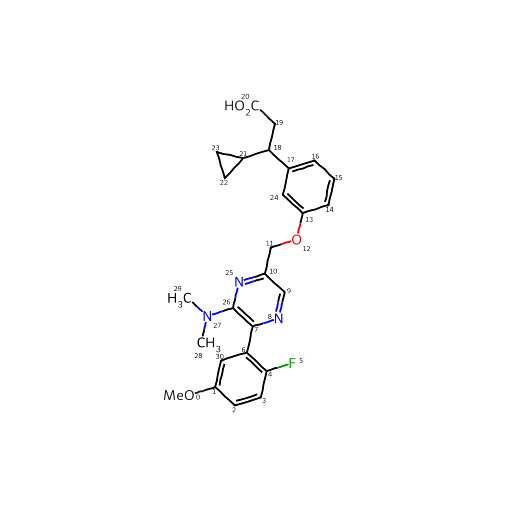 COc1ccc(F)c(-c2ncc(COc3cccc(C(CC(=O)O)C4CC4)c3)nc2N(C)C)c1